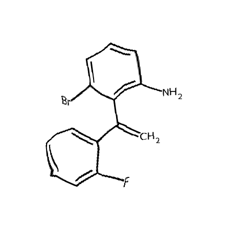 C=C(c1ccccc1F)c1c(N)cccc1Br